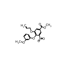 C=CCOc1cc(C(=O)OC)cc([N+](=O)[O-])c1Oc1cccc(OC)c1